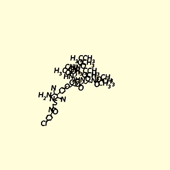 CC(C)(C)OC(=O)NCCC[C@H](NC(=O)OC(C)(C)C)C(=O)OC[C@@H](COc1ccc(-c2c(C#N)c(N)nc(SCc3coc(-c4ccc(Cl)cc4)n3)c2C#N)cc1)OC(=O)[C@H](CCCNC(=O)OC(C)(C)C)NC(=O)OC(C)(C)C